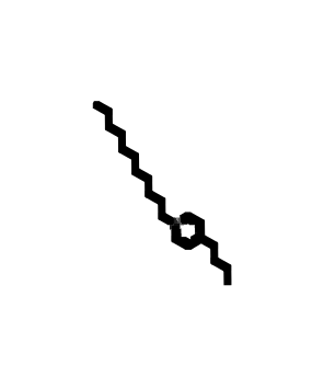 CCCCCCCCCCC[n+]1ccc(CCCC)cc1